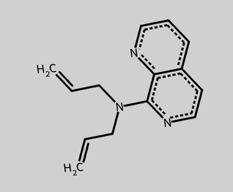 C=CCN(CC=C)c1nccc2cccnc12